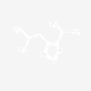 CC(C)Cc1[nH]nnc1C(C)C